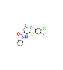 Cc1cc(SCC2=NN(c3ccccc3)C(=O)C2=CN(C)C)c(Cl)cc1Cl